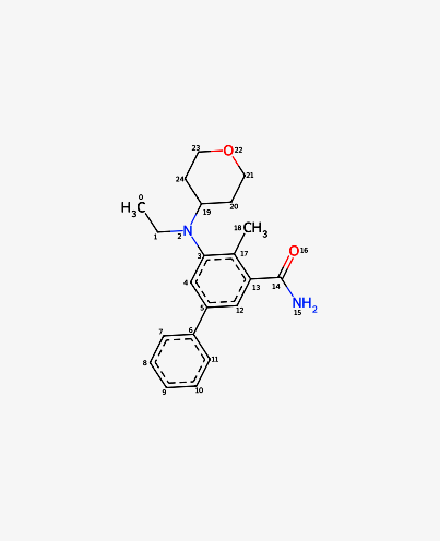 CCN(c1cc(-c2ccccc2)cc(C(N)=O)c1C)C1CCOCC1